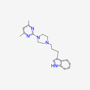 Cc1cc(C)nc(N2CCN(CCCc3c[nH]c4ccccc34)CC2)n1